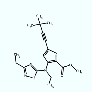 CCc1noc(N(CC)c2cc(C#CC(C)(C)C)sc2C(=O)OC)n1